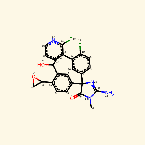 CC(O)c1cc(C2(c3ccc(F)c(-c4cccnc4F)c3)N=C(N)N(C)C2=O)ccc1C1CO1